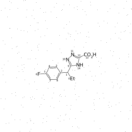 CCC(c1ccc(F)cc1)c1nnc(C(=O)O)[nH]1